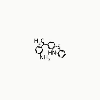 C=C(c1cccc(N)c1)c1ccc2c(c1)Nc1ccccc1S2